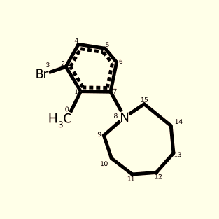 Cc1c(Br)cccc1N1CCCCCCC1